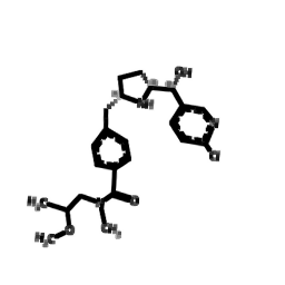 COC(C)CN(C)C(=O)c1ccc(C[C@@H]2CC[C@H]([C@H](O)c3ccc(Cl)nc3)N2)cc1